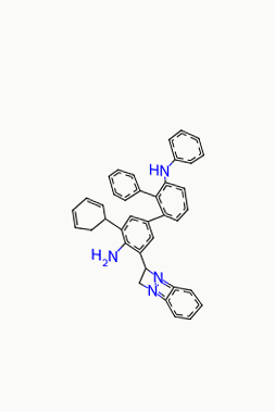 Nc1c(C2C=CC=CC2)cc(-c2cccc(Nc3ccccc3)c2-c2ccccc2)cc1C1Cn2c3ccccc3n21